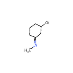 CN=C1CCCC(C#N)C1